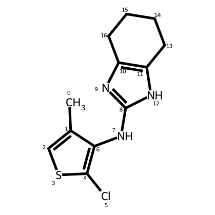 Cc1csc(Cl)c1Nc1nc2c([nH]1)CCCC2